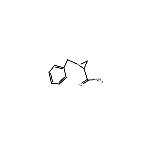 NC(=O)C1CN1Cc1ccccc1